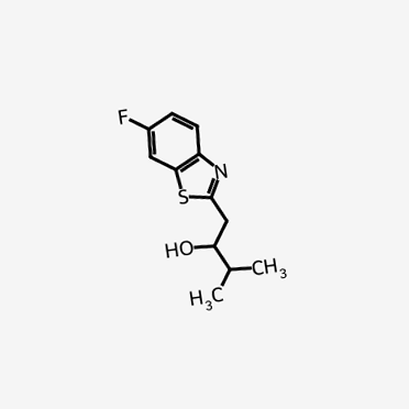 CC(C)C(O)Cc1nc2ccc(F)cc2s1